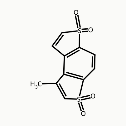 CC1=CS(=O)(=O)c2ccc3c(c21)C=CS3(=O)=O